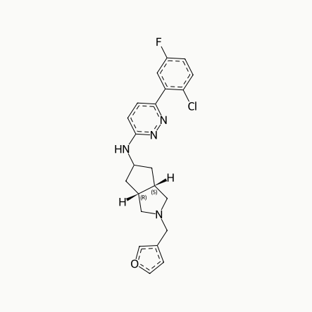 Fc1ccc(Cl)c(-c2ccc(NC3C[C@@H]4CN(Cc5ccoc5)C[C@@H]4C3)nn2)c1